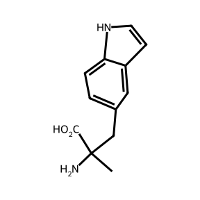 CC(N)(Cc1ccc2[nH]ccc2c1)C(=O)O